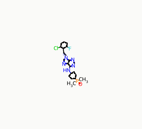 CP(C)(=O)c1ccc(Nc2ncnc3c2ncn3/C=C/c2c(F)cccc2Cl)cc1